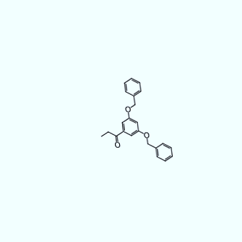 CCC(=O)c1cc(OCc2ccccc2)cc(OCc2ccccc2)c1